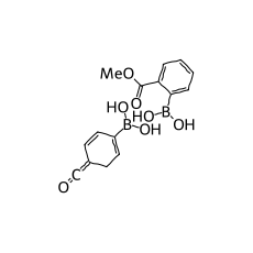 COC(=O)c1ccccc1B(O)O.O=C=C1C=CC(B(O)O)=CC1